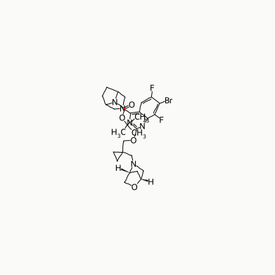 CC(C)(C)OC(=O)N1C2CCC1CN(c1nc(OCC3(CN4C[C@H]5C[C@@H]4CO5)CC3)nc3c(F)c(Br)c(F)cc13)C2